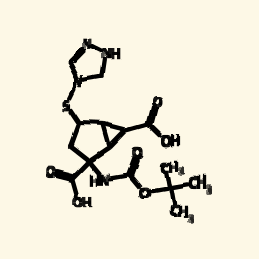 CC(C)(C)OC(=O)NC1(C(=O)O)CC(SN2C=NNC2)C2C(C(=O)O)C21